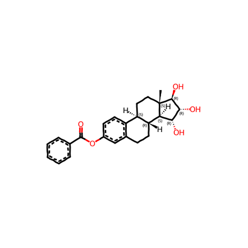 C[C@]12CC[C@@H]3c4ccc(OC(=O)c5ccccc5)cc4CC[C@H]3[C@@H]1[C@@H](O)[C@@H](O)[C@@H]2O